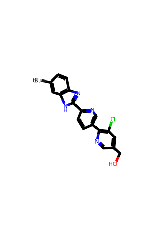 CC(C)(C)c1ccc2nc(-c3ccc(-c4ncc(CO)cc4Cl)cn3)[nH]c2c1